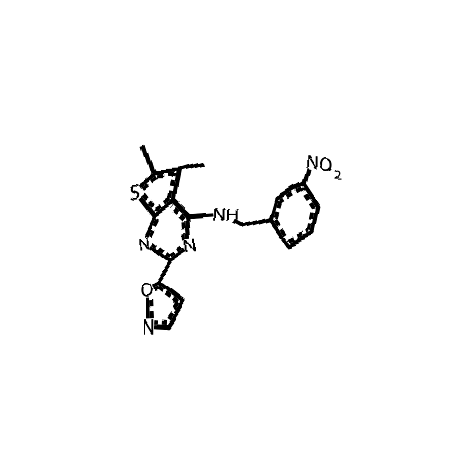 Cc1sc2nc(-c3ccno3)nc(NCc3cccc([N+](=O)[O-])c3)c2c1C